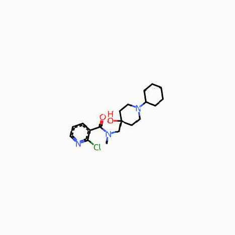 CN(CC1(O)CCN(C2CCCCC2)CC1)C(=O)c1cccnc1Cl